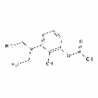 CCN(CC)c1cccc(OC(=O)O)c1O